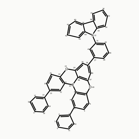 c1ccc(-c2ccc3c(c2)B2c4cc(-c5ccccc5)ccc4Oc4cc(-c5cccc(-n6c7ccccc7c7ccccc76)c5)cc(c42)O3)cc1